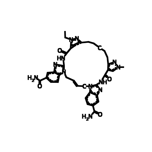 CCn1nc2cc1C(=O)Nc1nc3cc(C(N)=O)ccc3n1C/C=C/Cn1c(nc3cc(C(N)=O)ccc31)NC(=O)c1cn(C)nc1CCCCC2